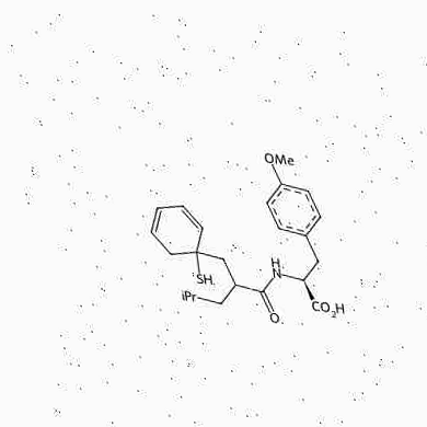 COc1ccc(C[C@H](NC(=O)C(CC(C)C)CC2(S)C=CC=CC2)C(=O)O)cc1